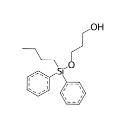 CCCC[Si](OCCCO)(c1ccccc1)c1ccccc1